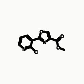 COC(=O)c1coc(-c2cccnc2Cl)n1